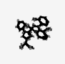 Cc1ccccc1P(OC(C)(C)C1=N[C@@H](C(C)C)CN1c1ccccc1)c1ccccc1C